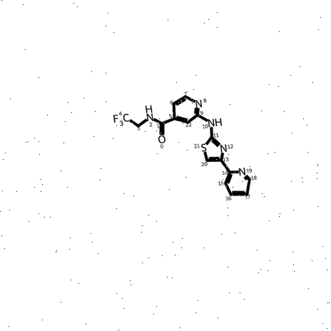 O=C(NCC(F)(F)F)c1ccnc(Nc2nc(-c3ccccn3)cs2)c1